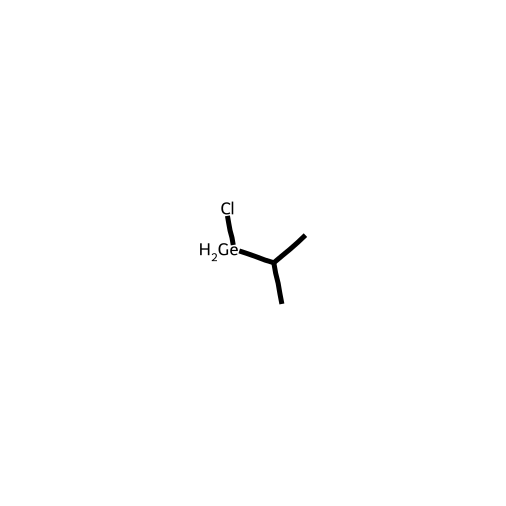 C[CH](C)[GeH2][Cl]